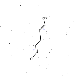 CCC/C=C/C/C=C/[O]